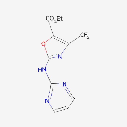 CCOC(=O)c1oc(Nc2ncccn2)nc1C(F)(F)F